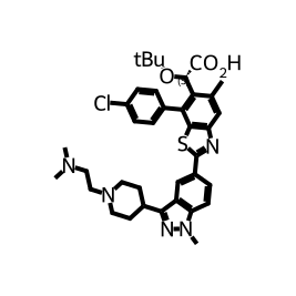 Cc1cc2nc(-c3ccc4c(c3)c(C3CCN(CCN(C)C)CC3)nn4C)sc2c(-c2ccc(Cl)cc2)c1[C@H](OC(C)(C)C)C(=O)O